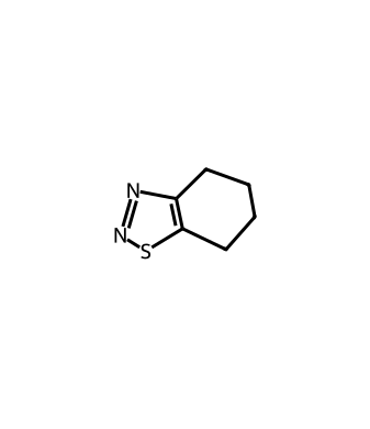 C1CCc2snnc2C1